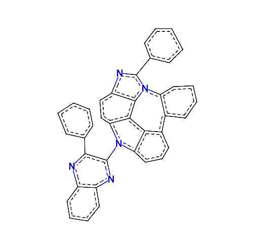 c1ccc(-c2nc3ccccc3nc2-n2c3cccc4c5ccccc5n5c(-c6ccccc6)nc6ccc2c(c43)c65)cc1